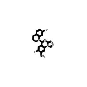 Nc1cc2c(cc1F)c(N1CCCc3ccc(Br)cc31)nc1nncn12